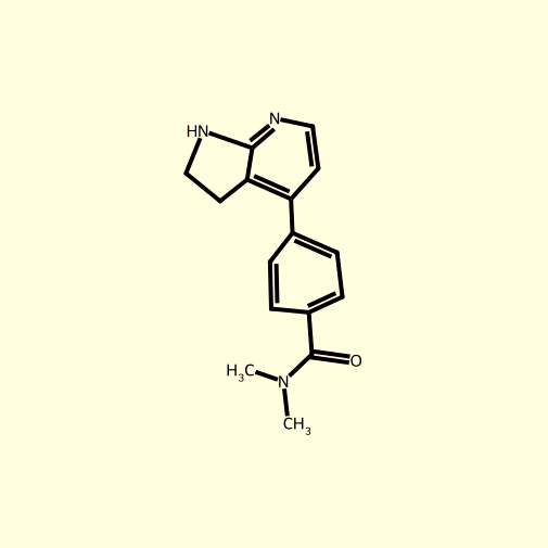 CN(C)C(=O)c1ccc(-c2ccnc3c2CCN3)cc1